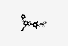 CCCOc1nc(OC2CCCC2)nc2oc(-c3cc(C)c(OCC(=O)O)c(C)c3)nc12